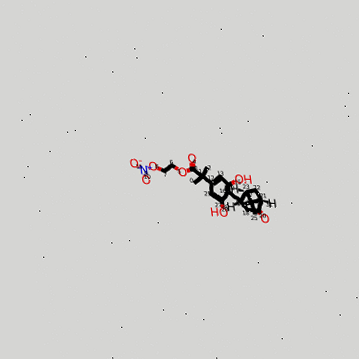 CC(C)(C(=O)OCCO[N+](=O)[O-])c1cc(O)c([C@H]2CC(=O)[C@H]3C[C@@H]2C3(C)C)c(O)c1